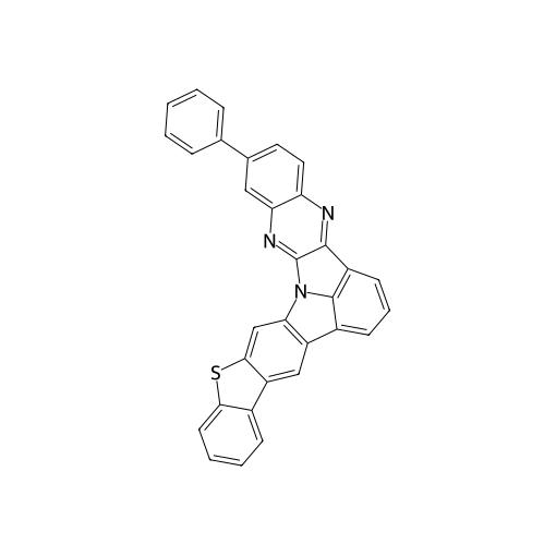 c1ccc(-c2ccc3nc4c5cccc6c7cc8c(cc7n(c4nc3c2)c65)sc2ccccc28)cc1